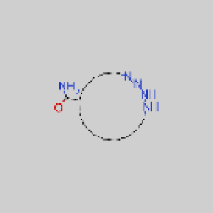 NC(=O)C1CCCCCCCCNNN=NCCCC1